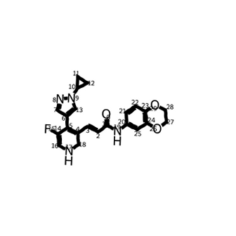 O=C(/C=C/C1=C(c2cnn(C3CC3)c2)C(F)=CNC1)Nc1ccc2c(c1)OCCO2